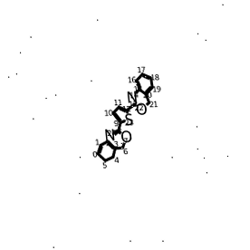 C1=CC2=C(CC1)COC(c1ccc(C3=Nc4ccccc4CO3)s1)=N2